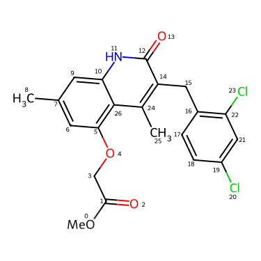 COC(=O)COc1cc(C)cc2[nH]c(=O)c(Cc3ccc(Cl)cc3Cl)c(C)c12